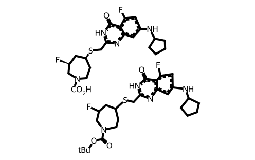 CC(C)(C)OC(=O)N1CCC(SCc2nc3cc(NC4CCCC4)cc(F)c3c(=O)[nH]2)CC(F)C1.O=C(O)N1CC[C@H](SCc2nc3cc(NC4CCCC4)cc(F)c3c(=O)[nH]2)C[C@H](F)C1